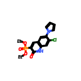 CCOP(=O)(OCC)c1cc2cc(-n3cccc3)c(Cl)cc2[nH]c1=O